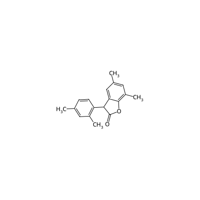 Cc1ccc(C2C(=O)Oc3c(C)cc(C)cc32)c(C)c1